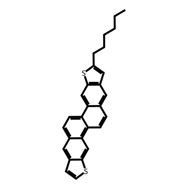 CCCCCCc1cc2cc3ccc4c5cc6sccc6cc5ccc4c3cc2s1